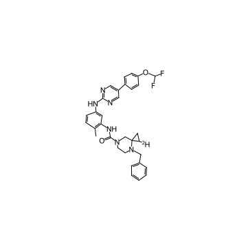 [2H]C1CC12CN(C(=O)Nc1cc(Nc3ncc(-c4ccc(OC(F)F)cc4)cn3)ccc1C)CCN2Cc1ccccc1